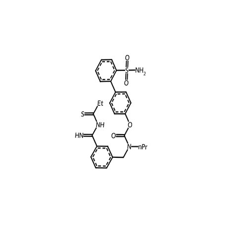 CCCN(Cc1cccc(C(=N)NC(=S)CC)c1)C(=O)Oc1ccc(-c2ccccc2S(N)(=O)=O)cc1